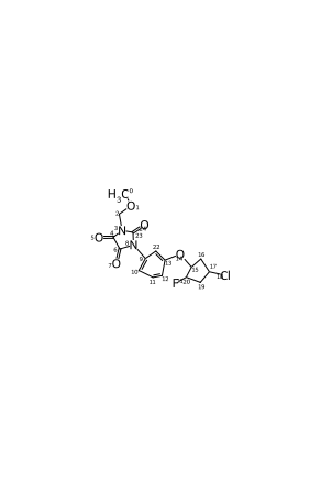 COCN1C(=O)C(=O)N(c2cccc(OC3CC(Cl)CC3F)c2)C1=O